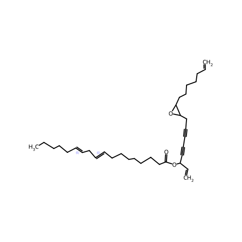 C=CCCCCCC1OC1CC#CC#CC(C=C)OC(=O)CCCCCCC/C=C/C/C=C/CCCCC